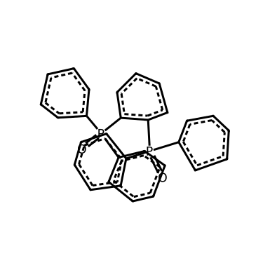 O=P(c1ccccc1)(c1ccccc1)c1ccccc1P(=O)(c1ccccc1)c1ccccc1